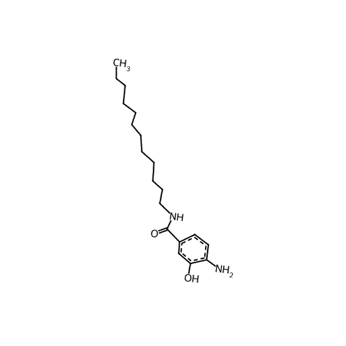 CCCCCCCCCCCCNC(=O)c1ccc(N)c(O)c1